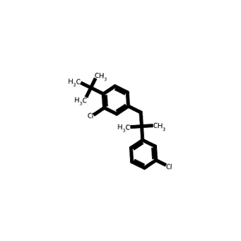 CC(C)(C)c1ccc(CC(C)(C)c2cccc(Cl)c2)cc1Cl